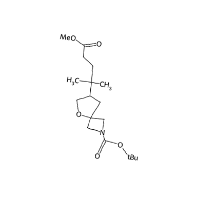 COC(=O)CCC(C)(C)C1COC2(C1)CN(C(=O)OC(C)(C)C)C2